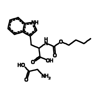 CCCCOC(=O)NC(Cc1c[nH]c2ccccc12)C(=O)O.NCC(=O)O